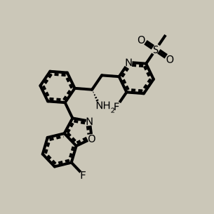 CS(=O)(=O)c1ccc(F)c(C[C@H](N)c2ccccc2-c2noc3c(F)cccc23)n1